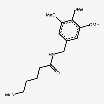 CNCCCCC(=O)NCc1cc(OC)c(OC)c(OC)c1